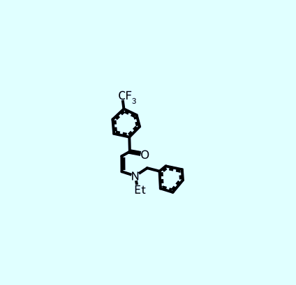 CCN(/C=C\C(=O)c1ccc(C(F)(F)F)cc1)Cc1ccccc1